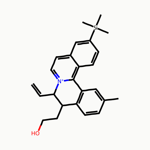 C=CC1C(CCO)c2ccc(C)cc2-c2c3ccc([Si](C)(C)C)cc3cc[n+]21